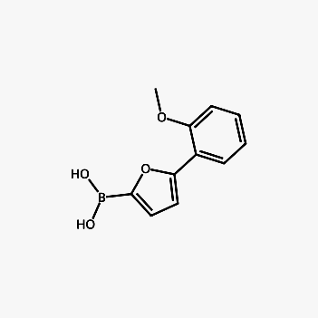 COc1ccccc1-c1ccc(B(O)O)o1